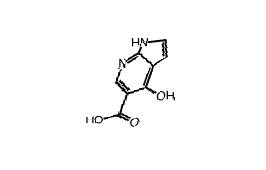 O=C(O)c1cnc2[nH]ccc2c1O